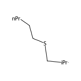 CCCCCSC[C](C)C